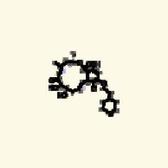 C/C1=C/C(=O)[C@@H](O)[C@@H](O)C/C=C/c2c(Cl)c(OCCN3CCOCC3)cc(O)c2C(=O)O[C@@H](C)C1